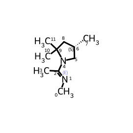 C/N=C(\C)N1C[C@@H](C)CC1(C)C